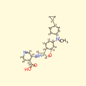 CN(c1ccc(C2CC2)cc1)c1ccc2c(c1)OCC2CNc1cnccc1C(=O)O